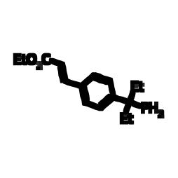 CCOC(=O)/C=C/c1ccc(C(P)(CC)CC)cc1